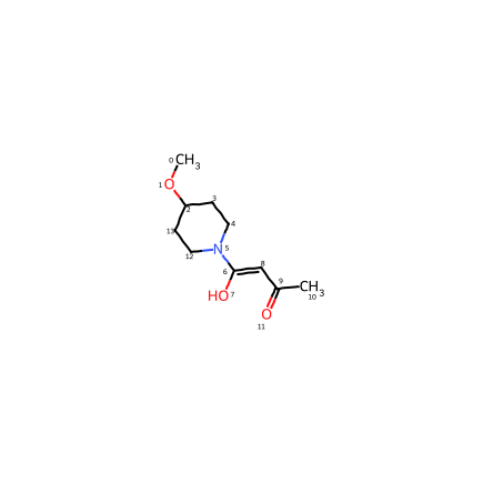 COC1CCN(/C(O)=C/C(C)=O)CC1